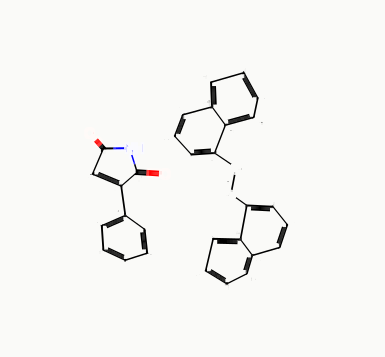 O=C1C=C(c2ccccc2)C(=O)N1.c1ccc2c([Se][Se]c3cccc4ccccc34)cccc2c1